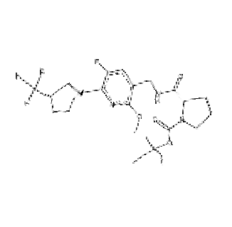 COc1nc(N2CCC(C(F)(F)F)C2)c(F)cc1CNC(=O)[C@@H]1CCCN1C(=O)OC(C)(C)C